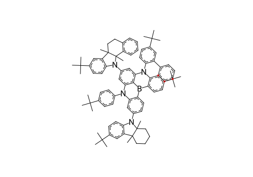 CC(C)(C)c1ccc(N2c3cc(N4c5ccc(C(C)(C)C)cc5C5(C)CCCCC45C)ccc3B3c4ccc(C(C)(C)C)cc4N(c4ccc(C(C)(C)C)cc4-c4ccccc4)c4cc(N5c6ccc(C(C)(C)C)cc6C6(C)CCc7ccccc7C56C)cc2c43)cc1